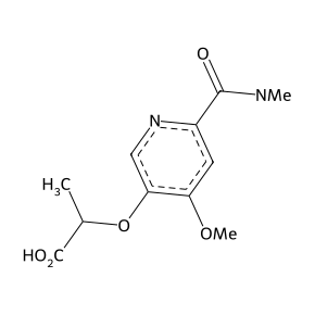 CNC(=O)c1cc(OC)c(OC(C)C(=O)O)cn1